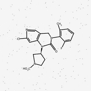 Cc1cccc(F)c1N1Cc2cnc(Cl)cc2N([C@H]2CCN(C(=O)O)C2)C1=O